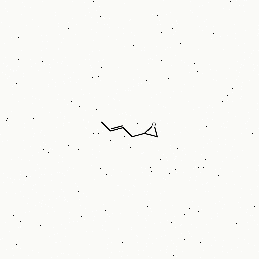 CC=CCC1CO1